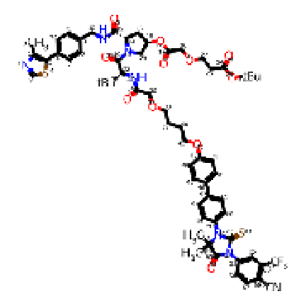 Cc1ncsc1-c1ccc(CNC(=O)[C@@H]2C[C@@H](OC(=O)COCCC(=O)OC(C)(C)C)CN2C(=O)[C@@H](NC(=O)COCCCCOc2ccc(-c3ccc(N4C(=S)N(c5ccc(C#N)c(C(F)(F)F)c5)C(=O)C4(C)C)cc3)cc2)C(C)(C)C)cc1